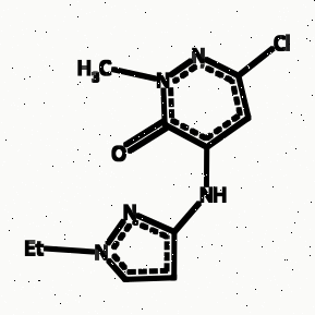 CCn1ccc(Nc2cc(Cl)nn(C)c2=O)n1